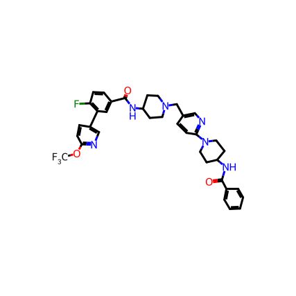 O=C(NC1CCN(Cc2ccc(N3CCC(NC(=O)c4ccccc4)CC3)nc2)CC1)c1ccc(F)c(-c2ccc(OC(F)(F)F)nc2)c1